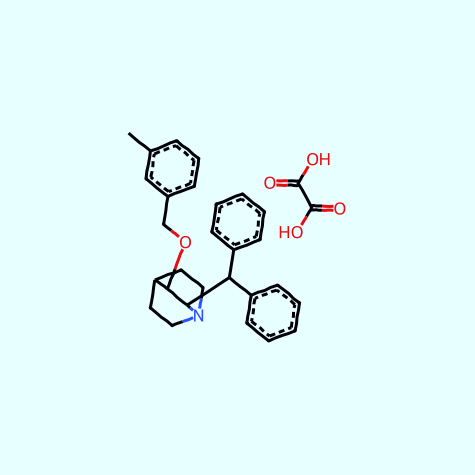 Cc1cccc(COC2C3CCN(CC3)C2C(c2ccccc2)c2ccccc2)c1.O=C(O)C(=O)O